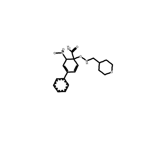 NC(=O)C1(ONCC2CCOCC2)C=CC(c2ccccc2)=CC1[N+](=O)[O-]